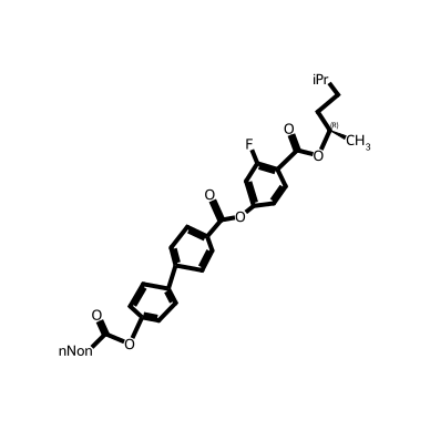 CCCCCCCCCC(=O)Oc1ccc(-c2ccc(C(=O)Oc3ccc(C(=O)O[C@H](C)CCC(C)C)c(F)c3)cc2)cc1